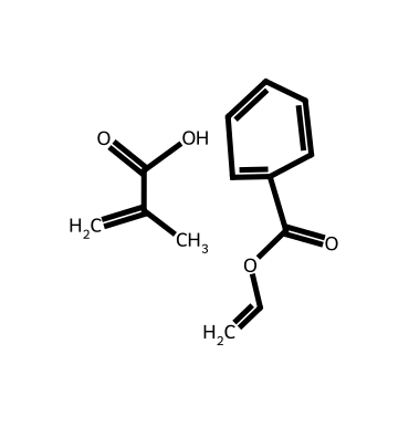 C=C(C)C(=O)O.C=COC(=O)c1ccccc1